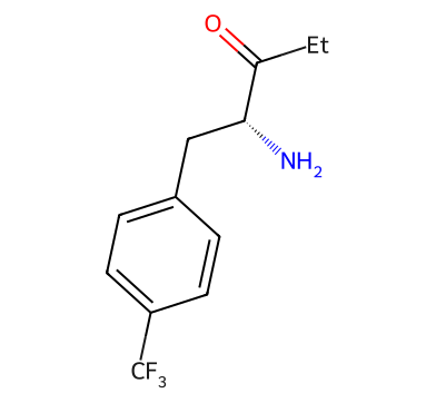 CCC(=O)[C@H](N)Cc1ccc(C(F)(F)F)cc1